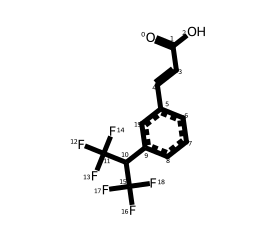 O=C(O)C=Cc1cccc(C(C(F)(F)F)C(F)(F)F)c1